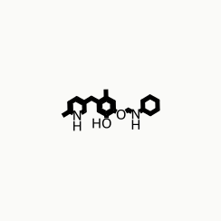 CC1=CC=C(Cc2cc(O)c(OCNC3CCCCC3)cc2C)CN1